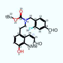 CNc1c(O)ccc(CCN(Cc2ccc(C=O)cc2F)C(=O)OC(C)(C)C)c1/C=C\C=O